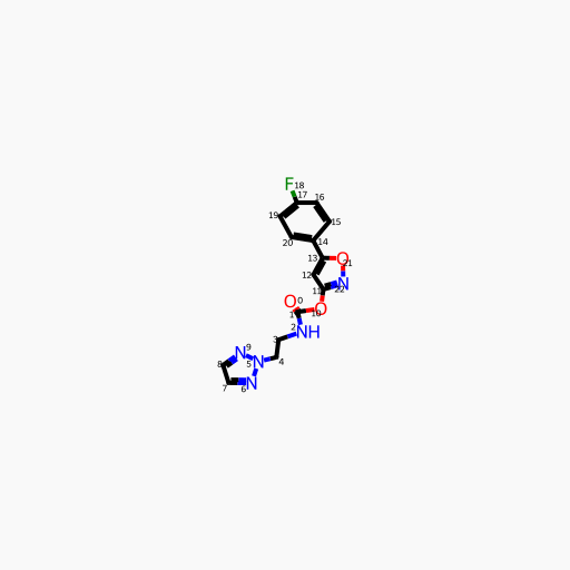 O=C(NCCn1nccn1)Oc1cc(-c2ccc(F)cc2)on1